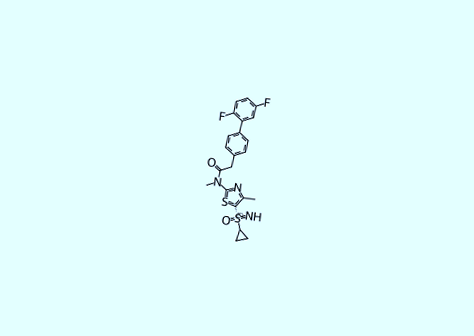 Cc1nc(N(C)C(=O)Cc2ccc(-c3cc(F)ccc3F)cc2)sc1[S@@](=N)(=O)C1CC1